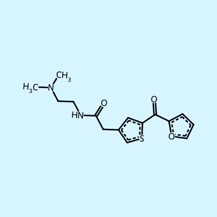 CN(C)CCNC(=O)Cc1csc(C(=O)c2ccco2)c1